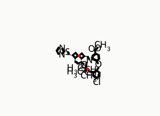 COC(=O)c1ccc2c(c1)N(C[C@@H]1CC[C@H]1C(/C=C\[C@@H]1CC[C@H]1CSc1ncccn1)O[Si](C)(C)C(C)(C)C)CCCCc1cc(Cl)ccc1CO2